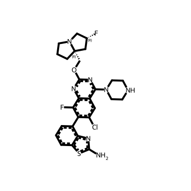 Nc1nc2c(-c3c(Cl)cc4c(N5CCNCC5)nc(OC[C@]56CCCN5C[C@H](F)C6)nc4c3F)cccc2s1